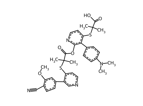 COc1cc(-c2cnccc2SC(C)(C)C(=O)Oc2nccc(SC(C)(C)C(=O)O)c2-c2ccc(N(C)C)cc2)ccc1C#N